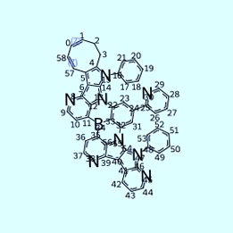 C1=C\CCc2c(c3c4nccc5c4n(c3n2-c2ccccc2)-c2cc(-c3ccccn3)cc3c2B5c2ccnc4c5c6cccnc6n(-c6ccccc6)c5n-3c24)\C=C/1